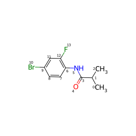 CC(C)C(=O)Nc1ccc(Br)cc1F